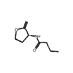 C=C1OCC[C@@H]1NC(=O)CCC